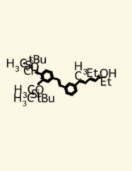 CCC(O)(/C=C/C=C(\C)c1cccc(C=Cc2ccc(CO[Si](C)(C)C(C)(C)C)c(CO[Si](C)(C)C(C)(C)C)c2)c1)CC